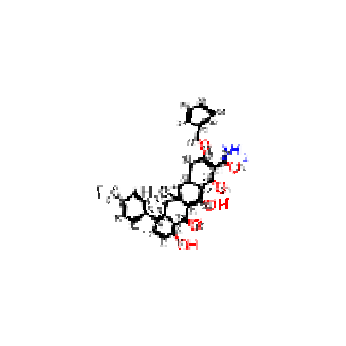 CC12Cc3c(-c4ccc(C(F)(F)F)cc4)ccc(O)c3C(=O)C1=C(O)C1C(=O)C(C(N)=O)=C(OCc3ccccc3)CC1C2